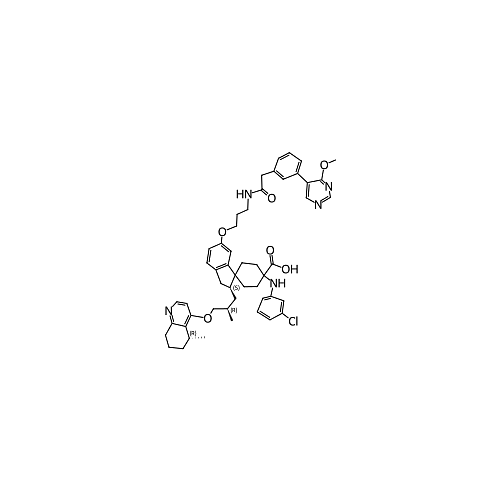 COc1ncncc1-c1cccc(CC(=O)NCCCOc2ccc3c(c2)C2(CCC(Nc4cccc(Cl)c4)(C(=O)O)CC2)[C@@H](C[C@@H](C)COc2ccnc4c2[C@H](C)CCC4)C3)c1